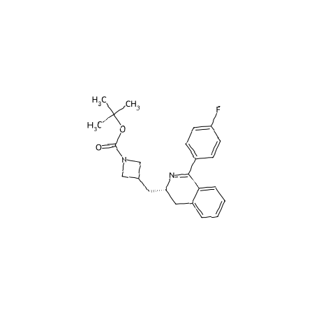 CC(C)(C)OC(=O)N1CC(C[C@H]2Cc3ccccc3C(c3ccc(F)cc3)=N2)C1